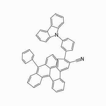 N#Cc1cc(-c2ccccc2-c2c3ccccc3c(-c3ccccc3)c3ccccc23)ccc1-c1cccc(-n2c3ccccc3c3ccccc32)c1